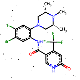 C[C@@H]1CN(c2cc(F)c(Br)cc2NC(=O)c2c[nH]c(=O)cc2C(F)(F)F)C[C@H](C)N1C